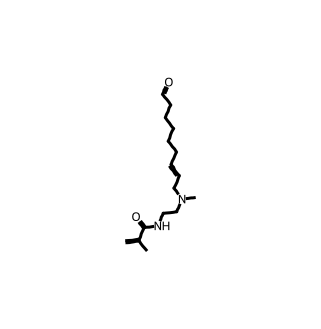 C=C(C)C(=O)NCCN(C)CC=CCCCCCC=O